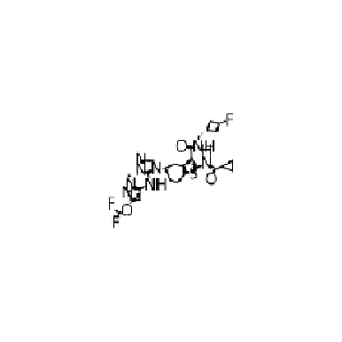 Cn1nc(OC(F)F)cc1Nc1nncn1[C@H]1CCc2sc(NC(=O)C3CC3)c(C(=O)NC[C@H]3C[C@H](F)C3)c2C1